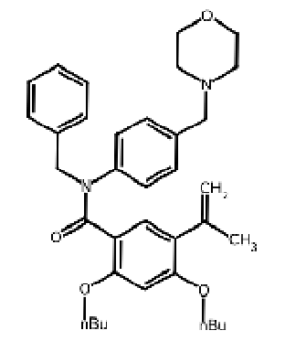 C=C(C)c1cc(C(=O)N(Cc2ccccc2)c2ccc(CN3CCOCC3)cc2)c(OCCCC)cc1OCCCC